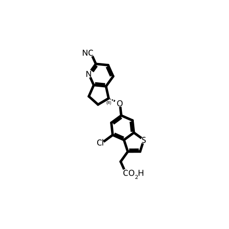 N#Cc1ccc2c(n1)CC[C@H]2Oc1cc(Cl)c2c(CC(=O)O)csc2c1